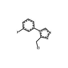 Fc1cccc(-n2cnnc2CCl)c1